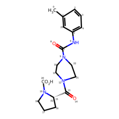 Cc1cccc(NC(=O)N2CCN(C(=O)[C@@H]3CCCN3C(=O)O)CC2)c1